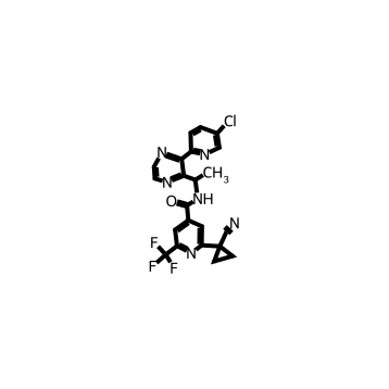 CC(NC(=O)c1cc(C(F)(F)F)nc(C2(C#N)CC2)c1)c1nccnc1-c1ccc(Cl)cn1